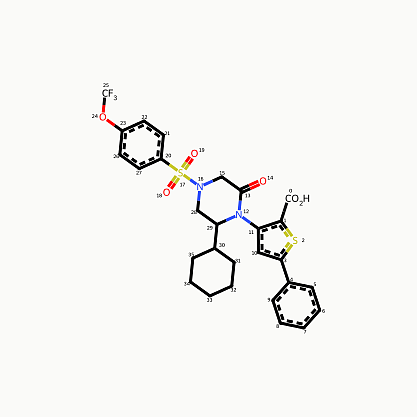 O=C(O)c1sc(-c2ccccc2)cc1N1C(=O)CN(S(=O)(=O)c2ccc(OC(F)(F)F)cc2)CC1C1CCCCC1